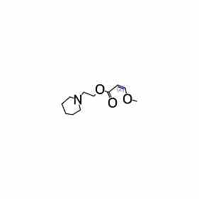 CO/C=C\C(=O)OCCN1CCCCC1